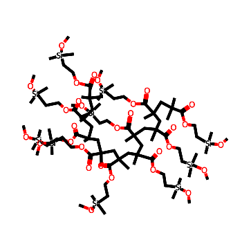 CO[Si](C)(C)CCOC(=O)C(C)(C)CC(C)(CC(C)(CC(C)(CC(C)(CC(C)(CC(C)(CC(C)(CC(C)(CC(C)(C)C(=O)OCC[Si](C)(C)OC)C(=O)OCC[Si](C)(C)OC)C(=O)OCC[Si](C)(C)OC)C(=O)OCC[Si](C)(C)OC)C(=O)OCC[Si](C)(C)OC)C(=O)OCC[Si](C)(C)OC)C(=O)OCC[Si](C)(C)OC)C(=O)OCC[Si](C)(C)OC)C(=O)OCC[Si](C)(C)OC